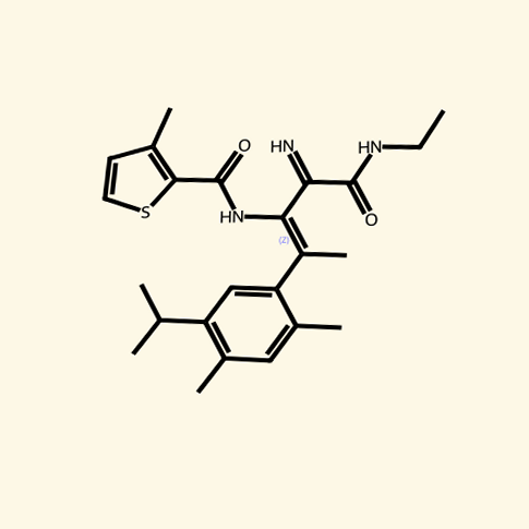 CCNC(=O)C(=N)/C(NC(=O)c1sccc1C)=C(\C)c1cc(C(C)C)c(C)cc1C